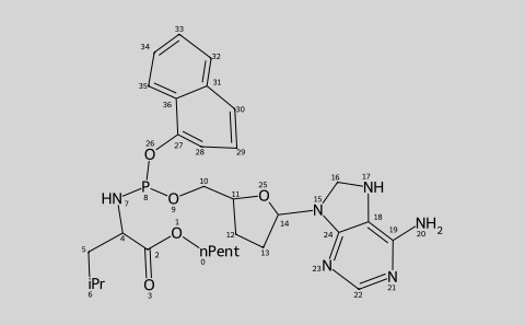 CCCCCOC(=O)C(CC(C)C)NP(OCC1CCC(N2CNc3c(N)ncnc32)O1)Oc1cccc2ccccc12